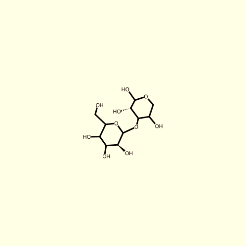 OCC1OC(OC2C(O)COC(O)[C@H]2O)[C@@H](O)C(O)C1O